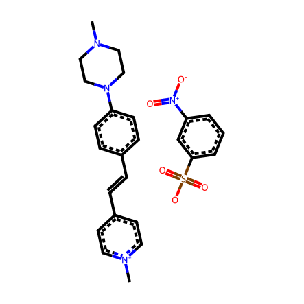 CN1CCN(c2ccc(/C=C/c3cc[n+](C)cc3)cc2)CC1.O=[N+]([O-])c1cccc(S(=O)(=O)[O-])c1